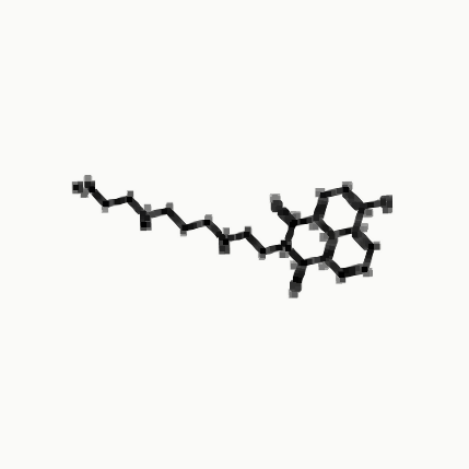 NCCNCCCNCCN1C(=O)c2cccc3c(Cl)ccc(c23)C1=O